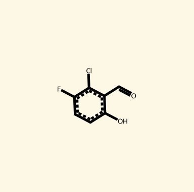 O=Cc1c(O)ccc(F)c1Cl